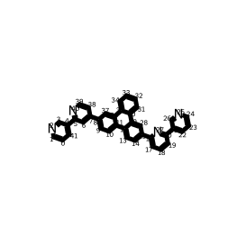 c1cncc(-c2cc(-c3ccc4c5ccc(-c6cccc(-c7cccnc7)n6)cc5c5ccccc5c4c3)ccn2)c1